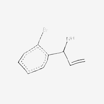 C=CC(N)c1ccccc1Br